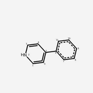 C1=CNC=CC=1c1ccccc1